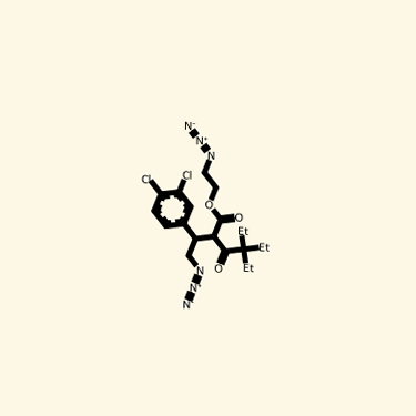 CCC(CC)(CC)C(=O)C(C(=O)OCCN=[N+]=[N-])C(CN=[N+]=[N-])c1ccc(Cl)c(Cl)c1